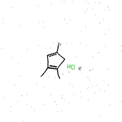 CC1=C(C)C[C]([Zr])=C1.Cl.[H-]